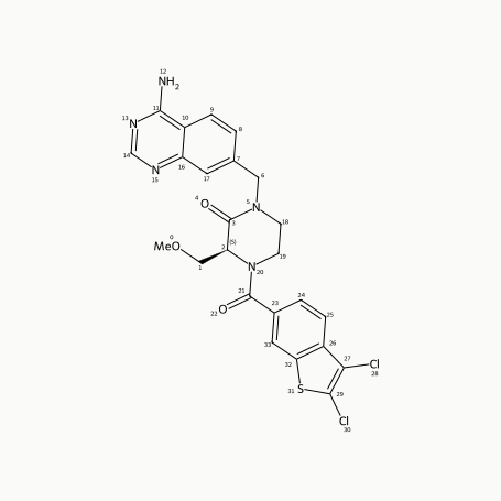 COC[C@H]1C(=O)N(Cc2ccc3c(N)ncnc3c2)CCN1C(=O)c1ccc2c(Cl)c(Cl)sc2c1